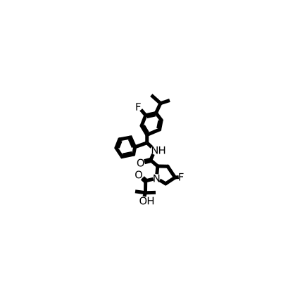 CC(C)c1ccc(C(NC(=O)C2CC(F)CN2C(=O)C(C)(C)O)c2ccccc2)cc1F